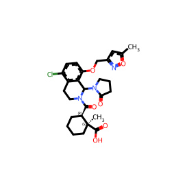 Cc1cc(COc2ccc(Cl)c3c2C(N2CCCC2=O)N(C(=O)[C@@H]2CCCC[C@]2(C)C(=O)O)CC3)no1